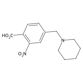 O=C(O)c1ccc(CN2CCCCC2)cc1[N+](=O)[O-]